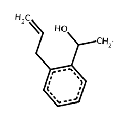 [CH2]C(O)c1ccccc1CC=C